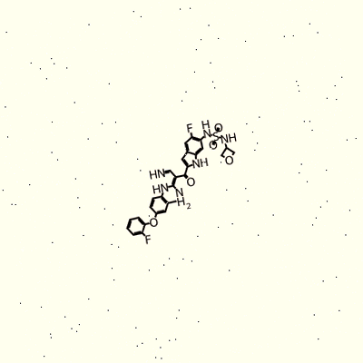 Cc1cc(Oc2ccccc2F)ccc1N/C(N)=C(\C=N)C(=O)c1cc2cc(F)c(NS(=O)(=O)NC3COC3)cc2[nH]1